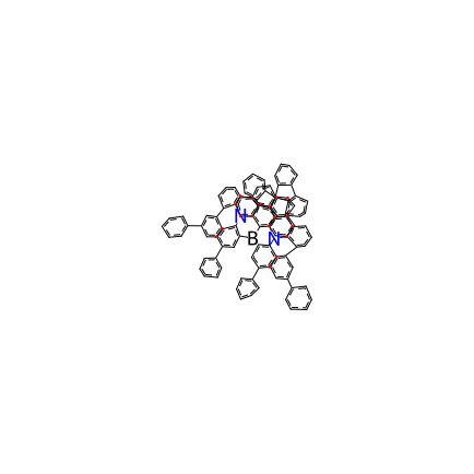 c1ccc(-c2cccc(-c3cccc(-c4cccc(-c5ccccc5)c4)c3N3c4ccc(-c5ccccc5)cc4B4c5cc(-c6ccccc6)ccc5N(c5c(-c6cccc(-c7ccccc7)c6)cccc5-c5cccc(-c6ccccc6)c5)c5cc(C6(c7ccccc7)c7ccccc7-c7ccccc76)cc3c54)c2)cc1